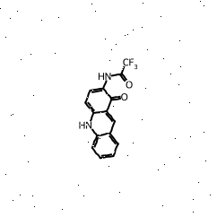 O=C(Nc1ccc2[nH]c3ccccc3cc-2c1=O)C(F)(F)F